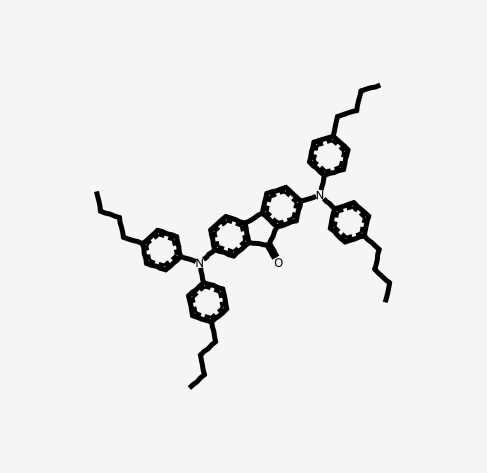 CCCCc1ccc(N(c2ccc(CCCC)cc2)c2ccc3c(c2)C(=O)c2cc(N(c4ccc(CCCC)cc4)c4ccc(CCCC)cc4)ccc2-3)cc1